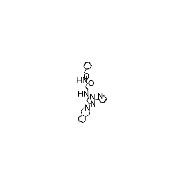 O=C(C=CNc1cc(N2CCc3ccccc3CC2)nc(-c2ccccn2)n1)NOCc1ccccc1